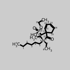 CCCCCC[N+](CC)(CC)C(=O)C1(CP(=O)(O)OCC)C=CC=CC1